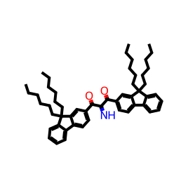 CCCCCCC1(CCCCCC)c2ccccc2-c2ccc(C(=O)C(=N)C(=O)c3ccc4c(c3)C(CCCCCC)(CCCCCC)c3ccccc3-4)cc21